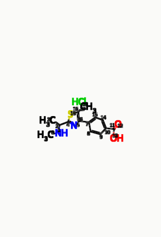 CNC(C)c1nc(-c2ccc(C(=O)O)cc2)c(C)s1.Cl